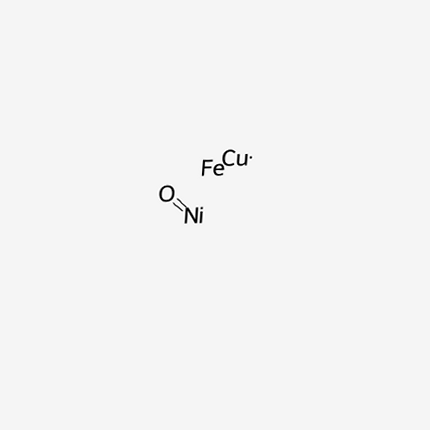 [Cu].[Fe].[O]=[Ni]